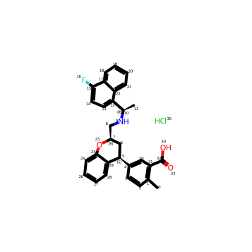 Cc1ccc([C@@H]2C[C@H](CN[C@H](C)c3ccc(F)c4ccccc34)Oc3ccccc32)cc1C(=O)O.Cl